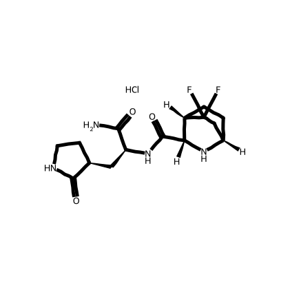 Cl.NC(=O)[C@H](C[C@@H]1CCNC1=O)NC(=O)[C@H]1N[C@H]2CC[C@@H]1C(F)(F)C2